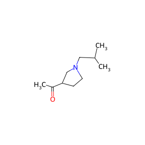 CC(=O)C1CCN(CC(C)C)C1